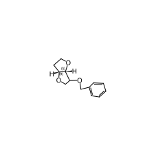 c1ccc(COC2CO[C@@H]3CCO[C@H]23)cc1